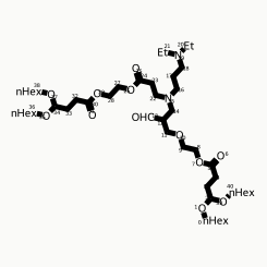 CCCCCCOC(CCC(=O)OCCOCC(C=O)CN(CCCN(CC)CC)CCC(=O)OCCOC(=O)CCC(OCCCCCC)OCCCCCC)OCCCCCC